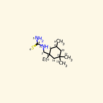 CCC1(CNC(N)=S)CC(C)CC(C)(C)C1